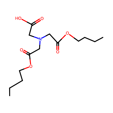 CCCCOC(=O)CN(CC(=O)O)CC(=O)OCCCC